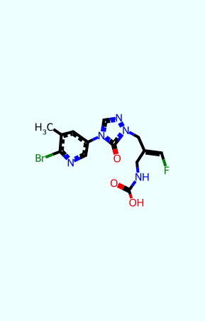 Cc1cc(-n2cnn(C/C(=C/F)CNC(=O)O)c2=O)cnc1Br